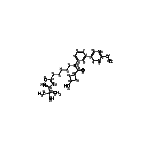 CCOc1ncc(-c2cccc(N(CCCCCc3nc(C(C)(C)S)no3)C(=O)C3CC(O)C3)c2)cn1